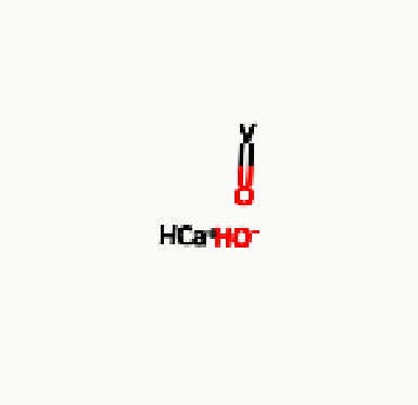 [CaH+].[OH-].[O]=[V]